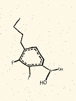 CCCCc1ccc(B(O)O)c(F)c1F